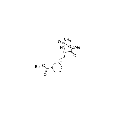 COC(=O)[C@@H](CC[C@H]1CCCN(C(=O)OC(C)(C)C)C1)NS(C)(=O)=O